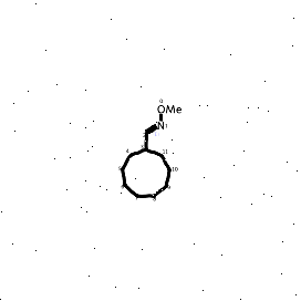 CO/N=C/C1CCCCCCCC1